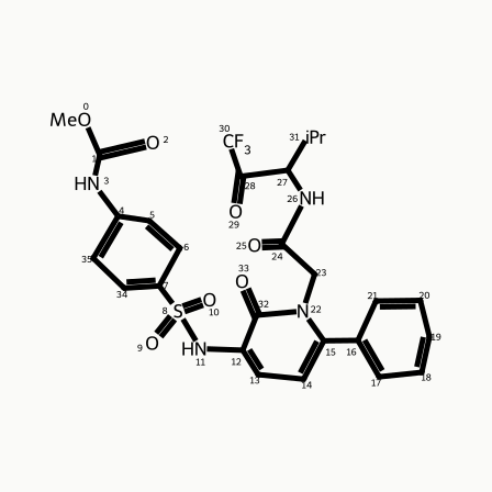 COC(=O)Nc1ccc(S(=O)(=O)Nc2ccc(-c3ccccc3)n(CC(=O)NC(C(=O)C(F)(F)F)C(C)C)c2=O)cc1